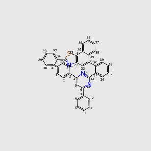 c1ccc(-c2cc(-c3ccccc3)nc(-c3ccccc3-c3cc4nc(-c5ccccc5)sc4c4ccccc34)n2)cc1